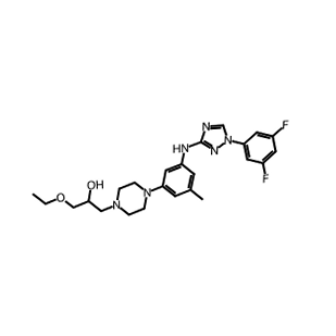 CCOCC(O)CN1CCN(c2cc(C)cc(Nc3ncn(-c4cc(F)cc(F)c4)n3)c2)CC1